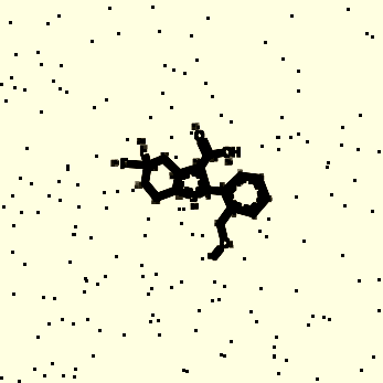 COCc1ccccc1-c1sc2c(c1C(=O)O)CC(F)(F)CC2